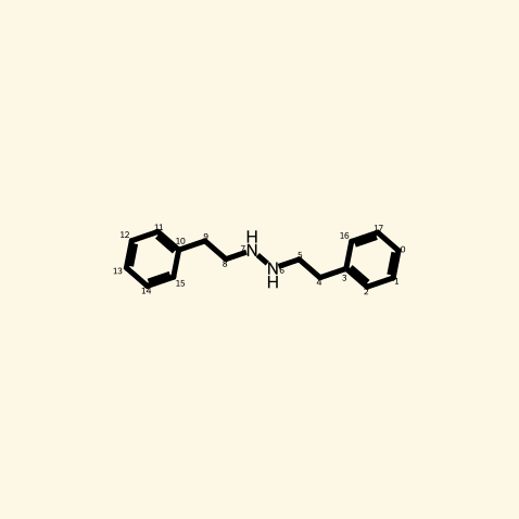 c1ccc(CCNNCCc2ccccc2)cc1